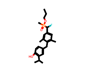 CCCOP(C)(=O)C(F)c1cc(C)c(Cc2ccc(O)c(C(C)C)c2)c(C)c1